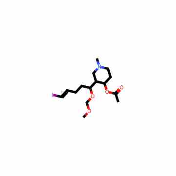 COCOC(CC/C=C/I)C1CN(C)CCC1OC(C)=O